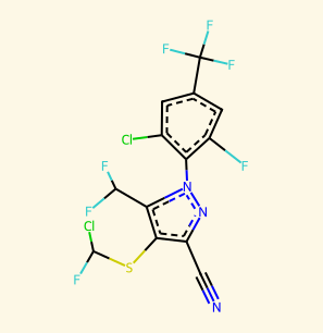 N#Cc1nn(-c2c(F)cc(C(F)(F)F)cc2Cl)c(C(F)F)c1SC(F)Cl